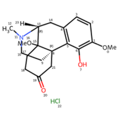 COc1ccc2c(c1O)[C@]13CCN(C)[C@H](C2)C1(OC)CCC(=O)C3.Cl